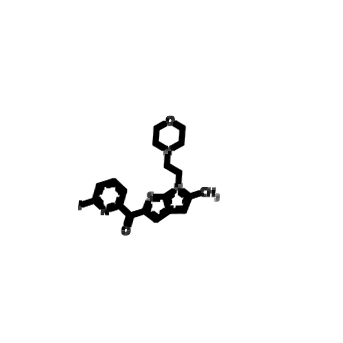 Cc1cc2cc(C(=O)c3cccc(I)n3)sc2n1CCN1CCOCC1